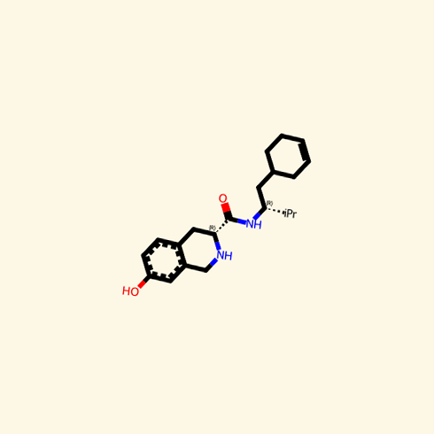 CC(C)[C@@H](CC1CC=CCC1)NC(=O)[C@H]1Cc2ccc(O)cc2CN1